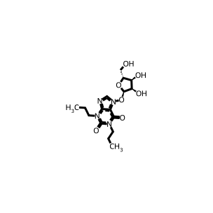 CCCn1c(=O)c2c(ncn2O[C@H]2O[C@H](CO)[C@@H](O)[C@H]2O)n(CCC)c1=O